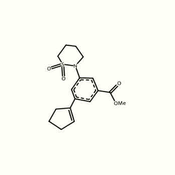 COC(=O)c1cc(C2=CCCC2)cc(N2CCCCS2(=O)=O)c1